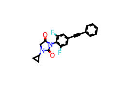 O=C1CN(C2CC2)C(=O)N1c1c(F)cc(C#Cc2ccccc2)cc1F